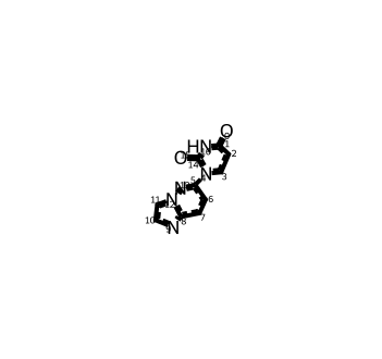 O=c1ccn(-c2ccc3nccn3n2)c(=O)[nH]1